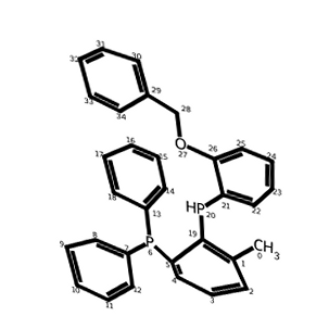 Cc1cccc(P(c2ccccc2)c2ccccc2)c1Pc1ccccc1OCc1ccccc1